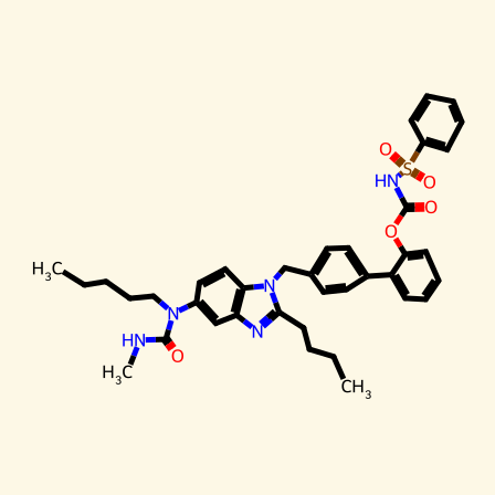 CCCCCN(C(=O)NC)c1ccc2c(c1)nc(CCCC)n2Cc1ccc(-c2ccccc2OC(=O)NS(=O)(=O)c2ccccc2)cc1